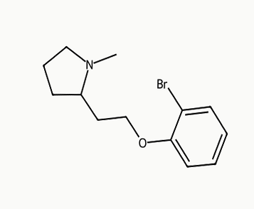 CN1CCCC1CCOc1ccccc1Br